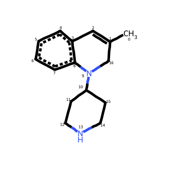 CC1=Cc2ccccc2N(C2CCNCC2)C1